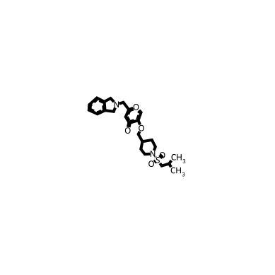 CC(C)CS(=O)(=O)N1CCC(COc2coc(CN3Cc4ccccc4C3)cc2=O)CC1